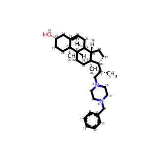 C[C@H](CN1CCN(Cc2ccccc2)CC1)[C@H]1CC[C@H]2[C@@H]3CC=C4C[C@@H](O)CC[C@]4(C)[C@H]3CC[C@]12C